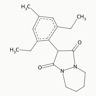 CCc1cc(C)cc(CC)c1C1C(=O)N2CCCCN2C1=O